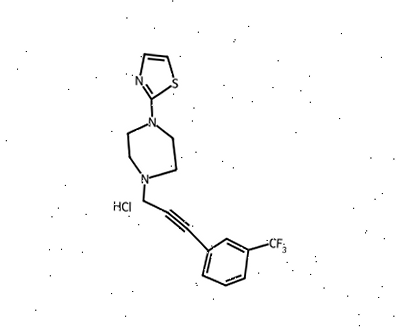 Cl.FC(F)(F)c1cccc(C#CCN2CCN(c3nccs3)CC2)c1